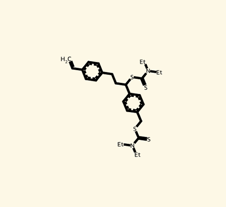 C=Cc1ccc(CCC(SC(=S)N(CC)CC)c2ccc(CSC(=S)N(CC)CC)cc2)cc1